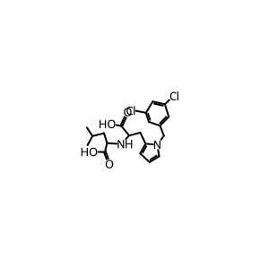 CC(C)CC(NC(Cc1cccn1Cc1cc(Cl)cc(Cl)c1)C(=O)O)C(=O)O